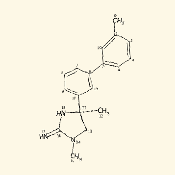 Cc1cccc(-c2cccc(C3(C)CN(C)C(=N)N3)c2)c1